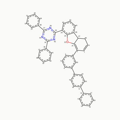 C1=CC(c2cccc(-c3ccc(-c4ccccc4)cc3)c2)=C2Oc3c(-c4nc(-c5ccccc5)nc(-c5ccccc5)n4)cccc3C2C1